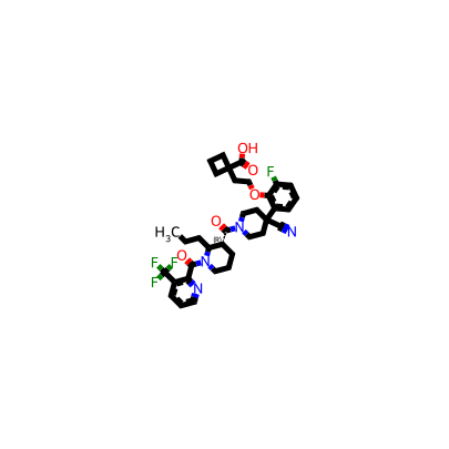 CCCC1[C@H](C(=O)N2CCC(C#N)(c3cccc(F)c3OCCC3(C(=O)O)CCC3)CC2)CCCN1C(=O)c1ncccc1C(F)(F)F